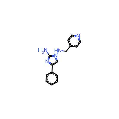 Nc1nc(-c2ccccc2)cn1NCc1ccncc1